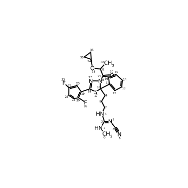 CNC(=NC#N)NCCCC1(c2ccccc2)SC(c2cc(F)ccc2F)=NN1C(=O)C(C)OC1CC1